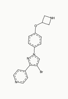 Brc1cn(-c2ccc(OC3CNC3)cc2)nc1-c1ccncc1